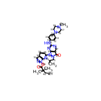 C=CCn1c(=O)c2cnc(Nc3ccc(N4CCN(C)CC4)cc3)nc2n1-c1ccc2cnn(OC(=O)C(C)(C)CC(C)C)c2n1